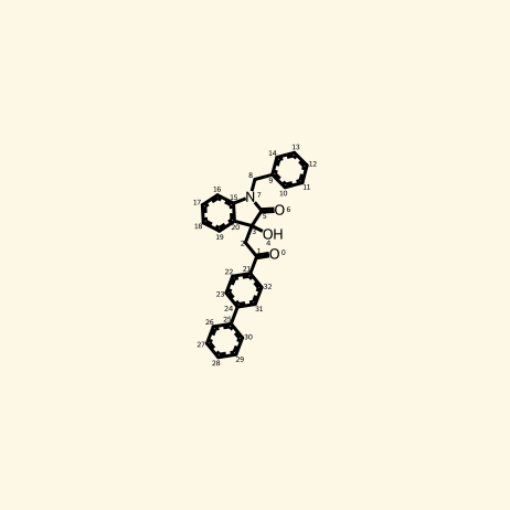 O=C(CC1(O)C(=O)N(Cc2ccccc2)c2ccccc21)c1ccc(-c2ccccc2)cc1